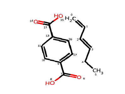 C=CC=CCC.O=C(O)c1ccc(C(=O)O)cc1